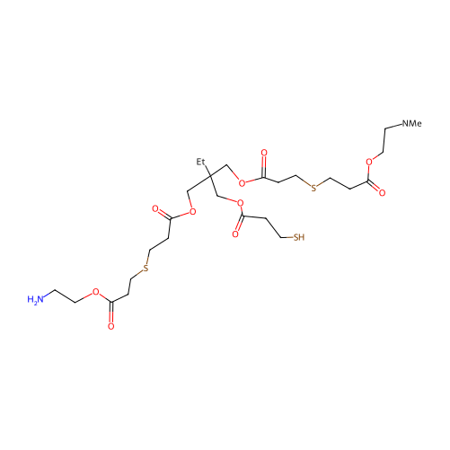 CCC(COC(=O)CCS)(COC(=O)CCSCCC(=O)OCCN)COC(=O)CCSCCC(=O)OCCNC